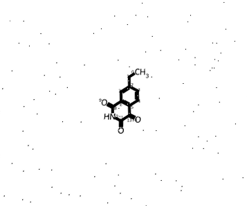 CCc1ccc2c(c1)C(=O)NC(=O)C2=O